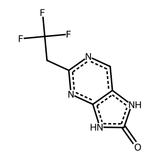 O=c1[nH]c2cnc(CC(F)(F)F)nc2[nH]1